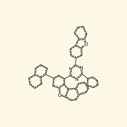 c1ccc(-c2nc(-c3ccc4c(c3)oc3ccccc34)nc(-c3cc(-c4cccc5ccccc45)cc4oc5ccc6ccccc6c5c34)n2)cc1